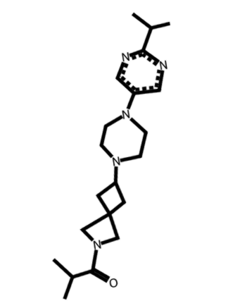 CC(C)C(=O)N1CC2(CC(N3CCN(c4cnc(C(C)C)nc4)CC3)C2)C1